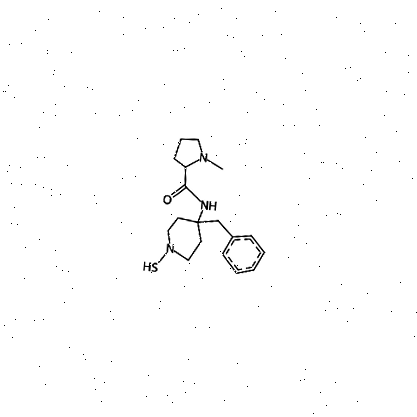 CN1CCCC1C(=O)NC1(Cc2ccccc2)CCN(S)CC1